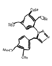 COc1cc(OC)c(OC)c(-n2nncc2-c2ccc(OC)c(OC)c2)c1